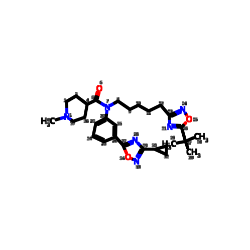 CN1CCC(C(=O)N(CCCCCc2noc(C(C)(C)C)n2)c2cccc(-c3nc(C4CC4)no3)c2)CC1